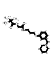 CC(C)(C)C(=O)OCC(=O)NCCCOc1cccc(CN2CCCCC2)c1